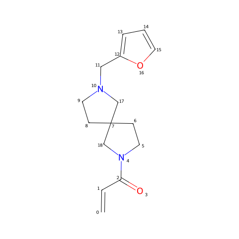 C=CC(=O)N1CCC2(CCN(Cc3ccco3)C2)C1